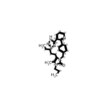 CCCCCc1c(C)n(CCC)c(=O)n1Cc1ccc(-c2ncccc2-c2nnn[nH]2)cc1